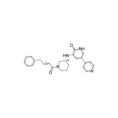 O=C(/C=C/Cc1ccccc1)N1CCC[C@@H](Nc2cc(-c3ccncc3)c[nH]c2=O)C1